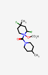 CC1CCN(C(=O)[N+]2(OC(=O)O)CCC(C)(F)CC2F)CC1